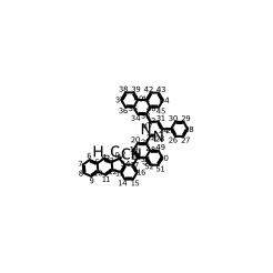 CC1(C)c2cc3ccccc3cc2-c2cccc(-c3ccc(-c4nc(-c5ccccc5)cc(-c5cc6ccccc6c6ccccc56)n4)c4ccccc34)c21